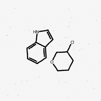 ClC1CCCOC1.c1ccc2[nH]ccc2c1